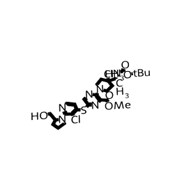 COC(=O)c1nc(Sc2ccnc(N3CCCC3CO)c2Cl)cnc1N1CCC(C)(C(C)NC(=O)OC(C)(C)C)CC1